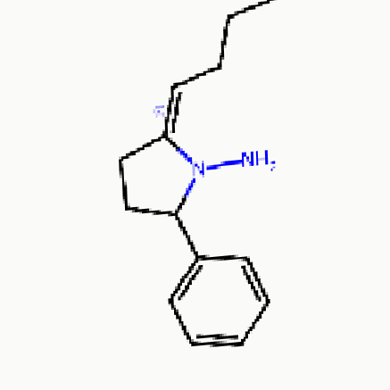 CCC/C=C1/CCC(c2ccccc2)N1N